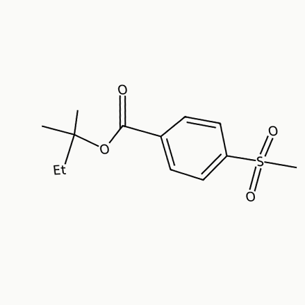 CCC(C)(C)OC(=O)c1ccc(S(C)(=O)=O)cc1